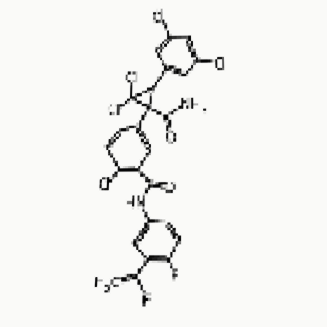 C=C(F)c1cc(NC(=O)c2cc(C3(C(N)=O)C(c4cc(Cl)cc(Cl)c4)C3(Cl)Cl)ccc2Cl)ccc1F